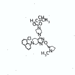 CN1CCC[C@@H]1COc1nc2c(c(N3CCN(C(=O)OC(C)(C)C)CC3)n1)CCN(c1cccc3cccc(Cl)c13)C2